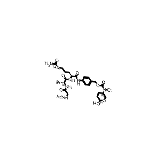 CCN(C(=O)OCc1ccc(NC(=O)[C@H](CCCNC(N)=O)NC(=O)[C@@H](NC(=O)CNC(C)=O)C(C)C)cc1)[C@@H]1CC[C@H](O)OC1